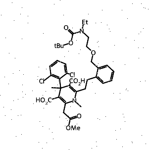 CCN(CCOCc1ccccc1CCC1=C(C(=O)O)C(C)(c2c(Cl)cccc2Cl)C(C(=O)O)=C(CC(=O)OC)N1C)C(=O)OC(C)(C)C